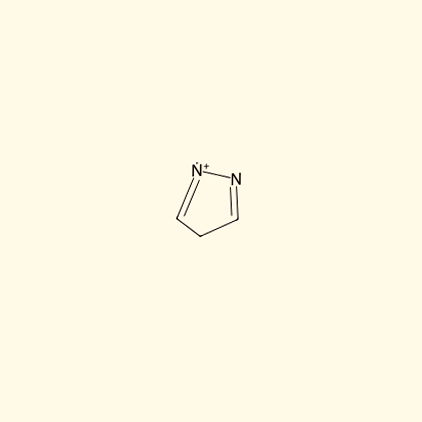 C1=N[N+]=CC1